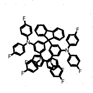 Fc1ccc(N(c2ccc(F)cc2)c2cc(N(c3ccc(F)cc3)c3ccc(F)cc3)cc(C3(c4cc(N(c5ccc(F)cc5)c5ccc(F)cc5)cc(N(c5ccc(F)cc5)c5ccc(F)cc5)c4)c4ccccc4-c4ccccc43)c2)cc1